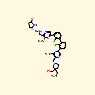 COCC1(CO)CCN(Cc2ncc(-c3cccc(-c4cccc(-c5cnc(CNC[C@@H]6CCC(=O)N6)c(OC)n5)c4Cl)c3Cl)nc2OC)C1